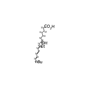 CCCCC=CC=CC=CCCCCCCCC(=O)O.CCO